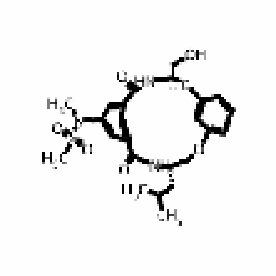 CC(C)C[C@H]1COc2cccc(c2)C[C@H](CO)NC(=O)c2cc(cc(N(C)S(C)(=O)=O)c2)C(=O)N1